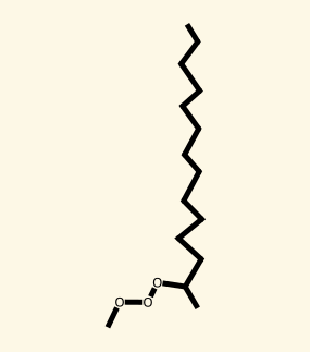 CCCCCCCCCCCCC(C)OOOC